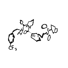 O=C(NCc1ccc(C(F)(F)F)cc1)[C@H]1CCCN1C(=O)[C@H]1CCCN(S(=O)(=O)C2CCOC2)C1